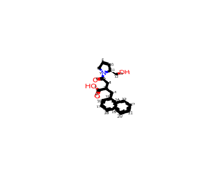 O=C(O)C(CC(=O)N1CCC[C@H]1CO)Cc1cccc2ccccc12